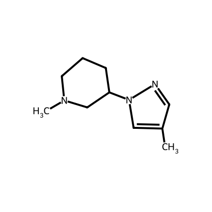 Cc1cnn(C2CCCN(C)C2)c1